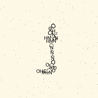 CNC(=O)C(CCC=O)N1C(=O)c2ccc(N3CC(N4CC(N5CCC(Nc6ncnc(N)c6C(=N)c6ccc(Oc7ccccc7)cc6)CC5)C4)C3)cc2C1=O